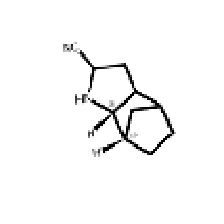 N#CC1CC2C3CC[C@@H](C3)[C@@H]2N1